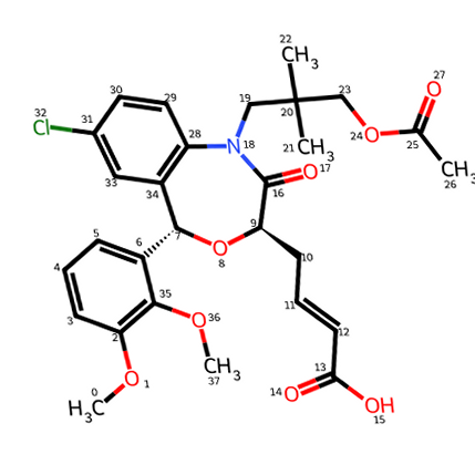 COc1cccc([C@H]2O[C@H](CC=CC(=O)O)C(=O)N(CC(C)(C)COC(C)=O)c3ccc(Cl)cc32)c1OC